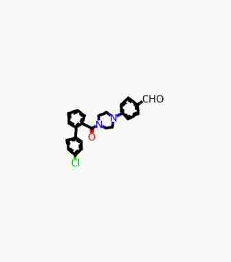 O=Cc1ccc(N2CCN(C(=O)c3ccccc3-c3ccc(Cl)cc3)CC2)cc1